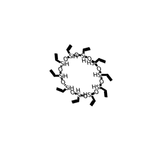 C=C[SiH]1O[SiH](C=C)O[SiH](C=C)O[SiH](C=C)O[SiH](C=C)O[SiH](C=C)O[SiH](C=C)O[SiH](C=C)O[SiH](C=C)O[SiH](C=C)O1